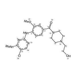 CNc1nc(Nc2ccc(C(=O)N3CCN(CCO)CC3)cc2OC)ncc1Cl